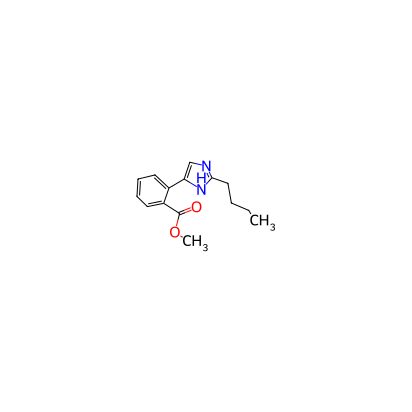 CCCCc1ncc(-c2ccccc2C(=O)OC)[nH]1